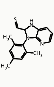 Cc1cc(C)c(N2c3ncccc3NC2C=S)c(C)c1